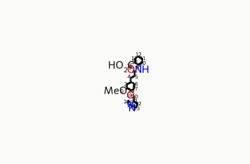 COc1cc(C=CC(=O)Nc2ccccc2C(=O)O)ccc1OCc1ccnn1C